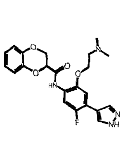 CN(C)CCOc1cc(-c2cn[nH]c2)c(F)cc1NC(=O)C1COc2ccccc2O1